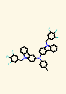 Cc1ccc(N(c2ccc3c(c2)c2ccccc2n3Cc2cc(F)c(F)c(F)c2)c2ccc3c(c2)c2ccccc2n3Cc2cc(F)c(F)c(F)c2)cc1